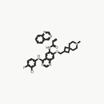 C=CC(=O)Nc1cc2c(Nc3ccc(F)c(Cl)c3)ncnc2cc1OCC1CC2(CCN(C)CC2)C1.c1ccc2ncncc2c1